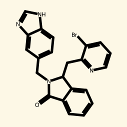 O=C1c2ccccc2C(Cc2ncccc2Br)N1Cc1ccc2[nH]cnc2c1